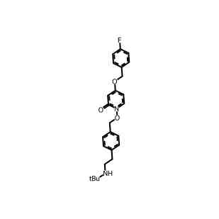 CC(C)(C)NCCc1ccc(COn2ccc(OCc3ccc(F)cc3)cc2=O)cc1